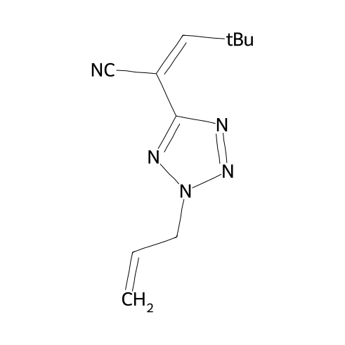 C=CCn1nnc(/C(C#N)=C\C(C)(C)C)n1